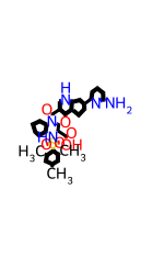 Cc1cc(C)c(S(=O)(=O)NC(CN(C(=O)c2c[nH]c3cc(-c4cccc(N)n4)ccc3c2=O)c2ccccc2)C(=O)O)c(C)c1